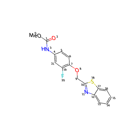 COC(=O)Nc1ccc(OCc2nc3ccccc3s2)c(F)c1